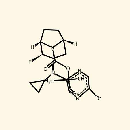 CC(C)(C)OC(=O)N1[C@@H]2CC[C@H]1[C@H](F)[C@H](N(c1cnc(Br)cn1)C1CC1)C2